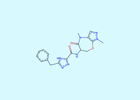 CN1C(=O)C(NC(=O)c2nnc(Cc3ccccc3)[nH]2)COc2c1cnn2C